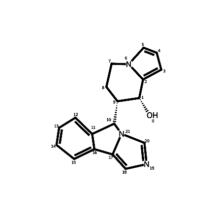 O[C@H]1c2cccn2CC[C@H]1C1c2ccccc2-c2cncn21